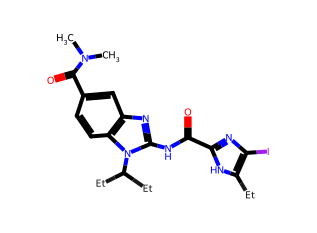 CCc1[nH]c(C(=O)Nc2nc3cc(C(=O)N(C)C)ccc3n2C(CC)CC)nc1I